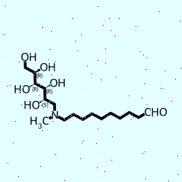 CN(CCCCCCCCCC=O)C[C@H](O)[C@@H](O)[C@H](O)[C@H](O)CO